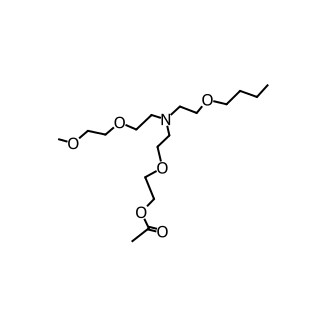 CCCCOCCN(CCOCCOC)CCOCCOC(C)=O